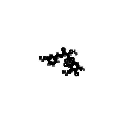 CC(Oc1nc(F)c(Cl)c(N)c1Cl)[C@H](C)C(=O)SCc1cccc(C(F)(F)F)c1